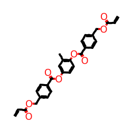 C=CC(=O)OCc1ccc(C(=O)Oc2ccc(OC(=O)c3ccc(COC(=O)C=C)cc3)c(C)c2)cc1